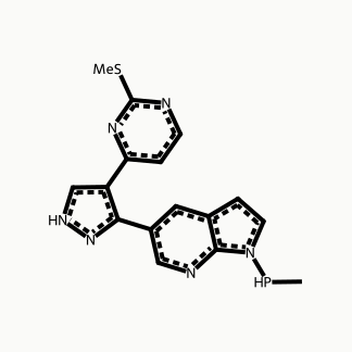 CPn1ccc2cc(-c3n[nH]cc3-c3ccnc(SC)n3)cnc21